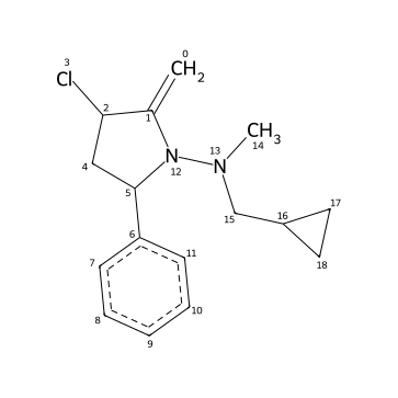 C=C1C(Cl)CC(c2ccccc2)N1N(C)CC1CC1